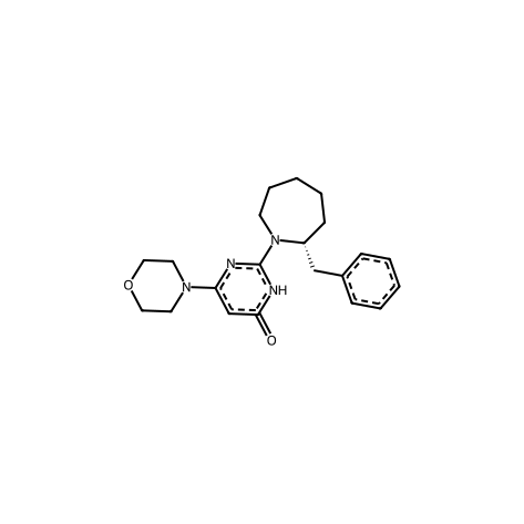 O=c1cc(N2CCOCC2)nc(N2CCCCC[C@@H]2Cc2ccccc2)[nH]1